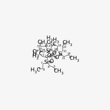 CCC[Si](CCC)(CCC)OP(=O)(O[Si](CCC)(CCC)CCC)O[Si](CCC)(CCC)CCC